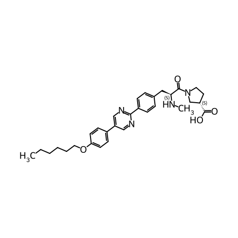 CCCCCCOc1ccc(-c2cnc(-c3ccc(C[C@H](NC)C(=O)N4CC[C@H](C(=O)O)C4)cc3)nc2)cc1